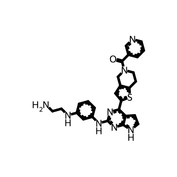 NCCNc1cccc(Nc2nc(-c3cc4c(s3)CCN(C(=O)c3cccnc3)C4)c3cc[nH]c3n2)c1